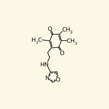 CC1=C(C)C(=O)C(CCNc2cocn2)=C(C)C1=O